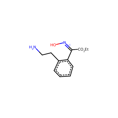 CCOC(=O)/C(=N/O)c1ccccc1CCN